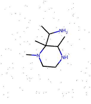 CC(N)C1(C)C(C)NCCN1C